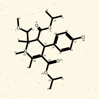 COC(C)C1(C)C(C(=O)OC(C)C)C(c2ccc(Cl)cc2)C(C(=O)OC(C)C)=C(C)N1C